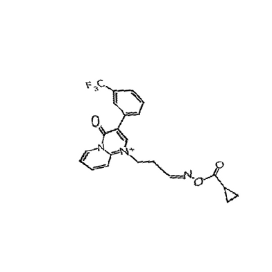 O=C(ON=CCC[n+]1cc(-c2cccc(C(F)(F)F)c2)c(=O)n2ccccc21)C1CC1